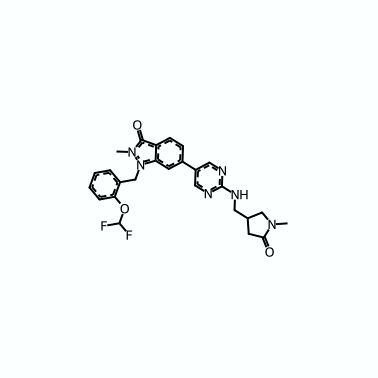 CN1CC(CNc2ncc(-c3ccc4c(=O)n(C)n(Cc5ccccc5OC(F)F)c4c3)cn2)CC1=O